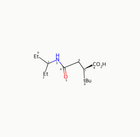 CCC(CC)NC(=O)C[C@@H](C(=O)O)C(C)(C)C